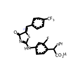 CCCC(C(=O)O)c1ccc(NC2=NC(=O)/C(=C/c3ccc(C(F)(F)F)cc3)S2)cc1F